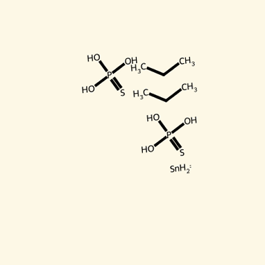 CCC.CCC.OP(O)(O)=S.OP(O)(O)=S.[SnH2]